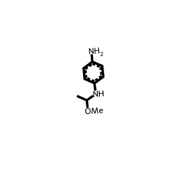 COC(C)Nc1ccc(N)cc1